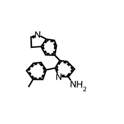 Cc1cccc(-c2nc(N)ccc2-c2ccc3c(c2)CC=N3)c1